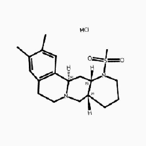 Cc1cc2c(cc1C)[C@H]1C[C@H]3[C@H](CCCN3S(C)(=O)=O)CN1CC2.Cl